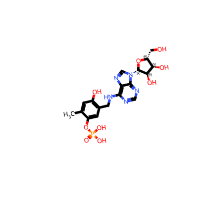 Cc1cc(O)c(CNc2ncnc3c2ncn3[C@@H]2O[C@H](CO)[C@@H](O)[C@H]2O)cc1OP(=O)(O)O